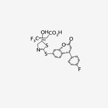 O=C(O)C[C@@](O)(C1CN=C(Sc2ccc3c(-c4ccc(F)cc4)cc(=O)oc3c2)S1)C(F)(F)F